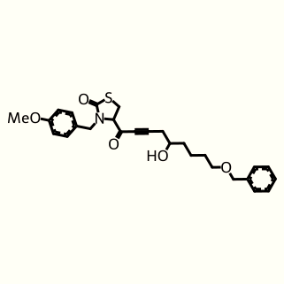 COc1ccc(CN2C(=O)SCC2C(=O)C#CCC(O)CCCCOCc2ccccc2)cc1